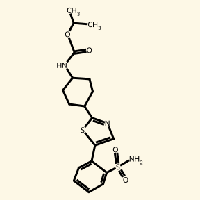 CC(C)OC(=O)NC1CCC(c2ncc(-c3ccccc3S(N)(=O)=O)s2)CC1